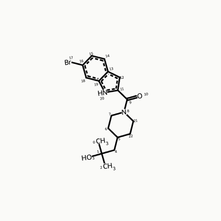 CC(C)(O)CC1CCN(C(=O)c2cc3ccc(Br)cc3[nH]2)CC1